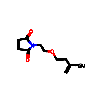 C=C(CCOCCN1C(=O)C=CC1=O)C(C)(C)C